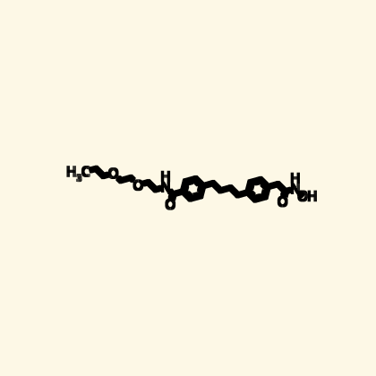 CCCOCCOCCNC(=O)c1ccc(CCCCc2ccc(CC(=O)NO)cc2)cc1